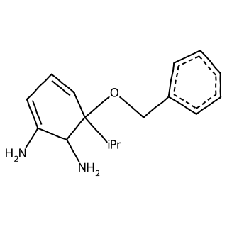 CC(C)C1(OCc2ccccc2)C=CC=C(N)C1N